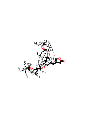 C[SiH](OC(C)(C)[Si](C)(C)C)C(C)(C)C(C)(C)O[Si](C)(CCCC1CC(=O)OC1=O)C(C)(C)C(C)(C)O[Si](C)(C)C(C)(C)O[Si](C)(C)C